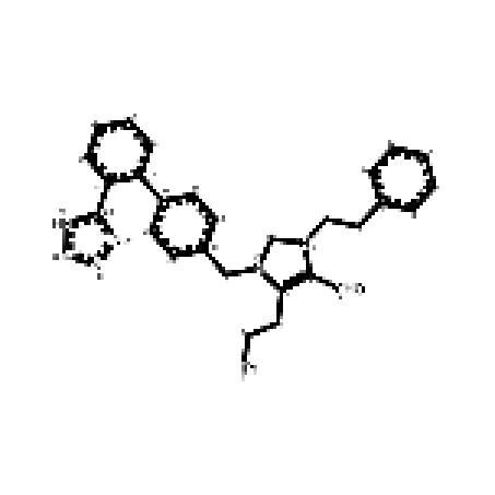 CC(C)CCC1=C(C=O)N(CCc2ccccc2)CN1Cc1ccc(-c2ccccc2-c2nnn[nH]2)cc1